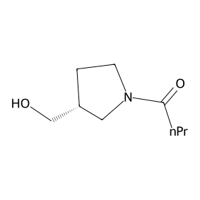 CCCC(=O)N1CC[C@@H](CO)C1